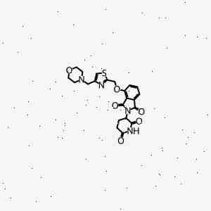 O=C1CCC(N2C(=O)c3cccc(OCc4nc(CN5CCOCC5)cs4)c3C2=O)C(=O)N1